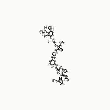 CC(C)CN(CCNCCc1ccc(O)c2c1OCC(=O)N2)C(=O)CCOCCc1cccc(CCN2CCC3(CC2)CN(C(=O)c2csc(C(C)C)n2)CCO3)c1